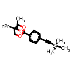 CCCC12COC(c3ccc(C#C[Si](C)(C)C)cc3)(OC1)OC2C